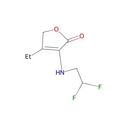 CCC1=C(NCC(F)F)C(=O)OC1